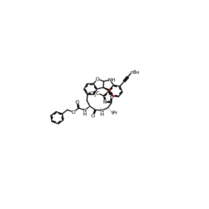 CCCCC#Cc1cccc2c1NC1Oc3ccc4cc3C21c1oc(nc1C(=O)O)[C@H](C(C)C)NC(=O)[C@@H](NC(=O)OCc1ccccc1)C4